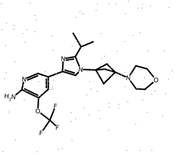 CC(C)c1nc(-c2cnc(N)c(OC(F)(F)F)c2)cn1C12CC(N3CCOCC3)(C1)C2